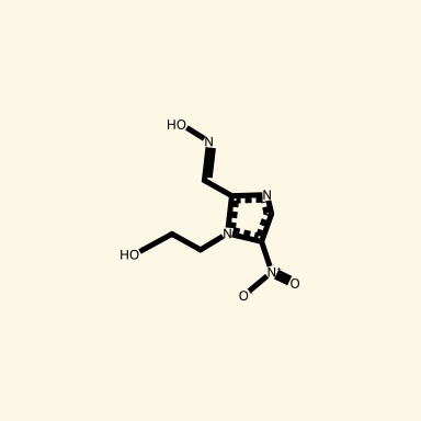 O=[N+]([O-])c1cnc(C=NO)n1CCO